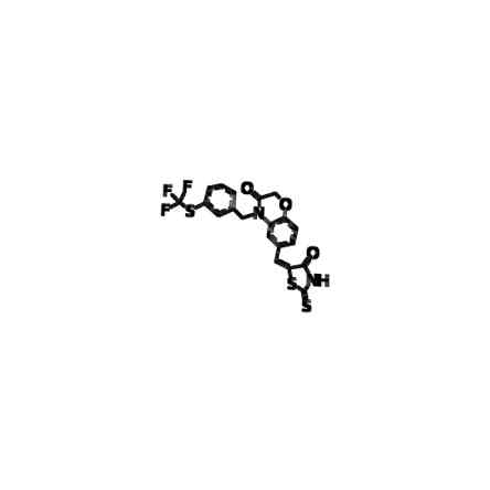 O=C1NC(=S)S/C1=C/c1ccc2c(c1)N(Cc1cccc(SC(F)(F)F)c1)C(=O)CO2